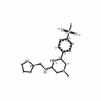 CN1CC(NC[C@H]2CCCS2)NC(c2ccc(S(C)(=O)=O)cc2)C1